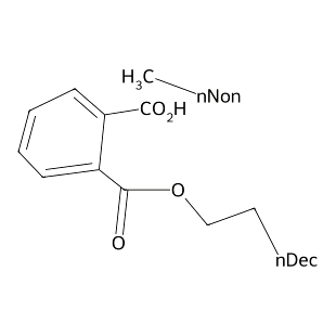 CCCCCCCCCC.CCCCCCCCCCCCOC(=O)c1ccccc1C(=O)O